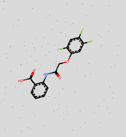 O=C(COc1cc(F)c(F)cc1F)Nc1ccccc1C(=O)O